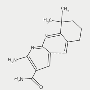 CC1(C)CCCc2cc3cc(C(N)=O)c(N)nc3nc21